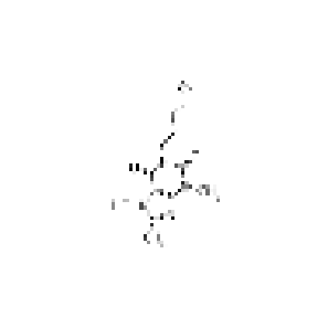 CC(=O)CCCCn1c(=O)c2c(nc(C)n2C)n(C)c1=O